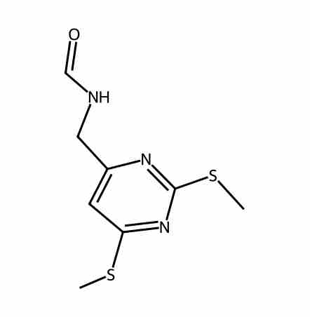 CSc1cc(CNC=O)nc(SC)n1